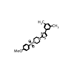 COc1ccc(S(=O)(=O)N2CCN(c3nc(-c4cc(C)cc(C)c4)cs3)CC2)cc1